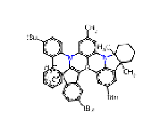 Cc1cc2c3c(c1)N1c4c(cc(C(C)(C)C)cc4C4(C)CCCCC14C)B3C1=C(N2c2ccc(C(C)(C)C)cc2-c2ccccc2)C(C)(C)c2ccc(C(C)(C)C)cc21